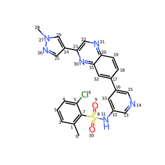 Cc1cccc(Cl)c1S(=O)(=O)Nc1cncc(-c2ccc3ncc(-c4cnn(C)c4)nc3c2)c1